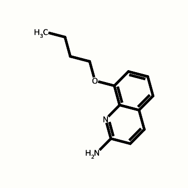 CCCCOc1cccc2ccc(N)nc12